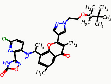 Cc1cc(C(C)Nc2ccc(Cl)nc2-c2noc(=O)[nH]2)c2oc(-c3cnn(CCO[Si](C)(C)C(C)(C)C)c3)c(C)c(=O)c2c1